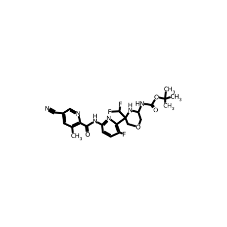 Cc1cc(C#N)cnc1C(=O)Nc1ccc(F)c(C2(C(F)F)COCC(NC(=O)OC(C)(C)C)N2)n1